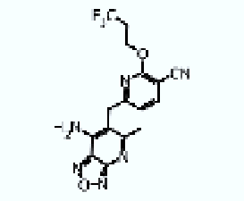 Cc1nc2nonc2c(N)c1Cc1ccc(C#N)c(OCCC(F)(F)F)n1